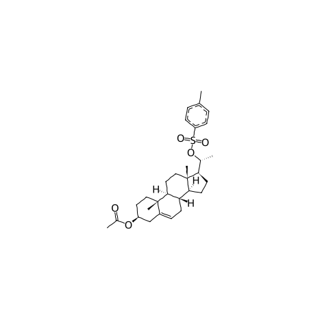 CC(=O)O[C@H]1CC[C@@]2(C)C(=CC[C@H]3[C@@H]4CC[C@H]([C@@H](C)OS(=O)(=O)c5ccc(C)cc5)[C@@]4(C)CC[C@@H]32)C1